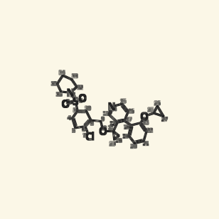 O=S(=O)(c1ccc(Cl)c(COC2(c3cnccc3-c3ccccc3OC3CC3)CC2)c1)N1CCCCC1